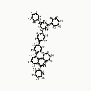 c1ccc(-c2cc(-c3ccc(-c4ccc(-c5cccc6c(-c7ccccn7)nc7ccccc7c56)cc4)cc3)nc(-c3ccccc3)n2)cc1